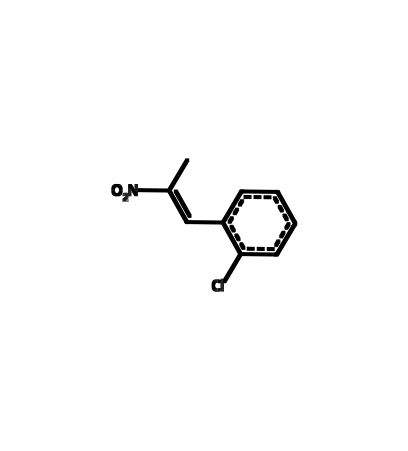 C/C(=C\c1ccccc1Cl)[N+](=O)[O-]